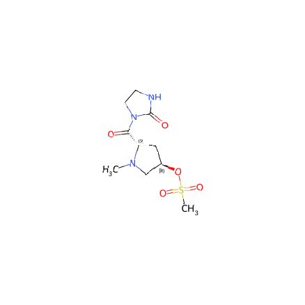 CN1C[C@H](OS(C)(=O)=O)C[C@H]1C(=O)N1CCNC1=O